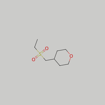 CCS(=O)(=O)CC1CCOCC1